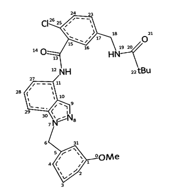 COc1cccc(Cn2ncc3c(NC(=O)c4cc(CNC(=O)C(C)(C)C)ccc4Cl)cccc32)c1